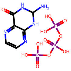 NC1NC(=O)c2nccnc2N1.O=P(O)(O)OP(=O)(O)OP(=O)(O)O